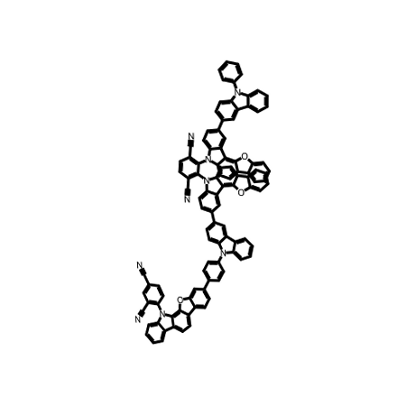 N#Cc1ccc(-n2c3ccccc3c3ccc4c5ccc(-c6ccc(-n7c8ccccc8c8cc(-c9ccc%10c(c9)c9c%11oc%12ccccc%12c%11ccc9n%10-c9c(C#N)ccc(C#N)c9-n9c%10ccc(-c%11ccc%12c(c%11)c%11ccccc%11n%12-c%11ccccc%11)cc%10c%10c%11oc%12ccccc%12c%11ccc%109)ccc87)cc6)cc5oc4c32)c(C#N)c1